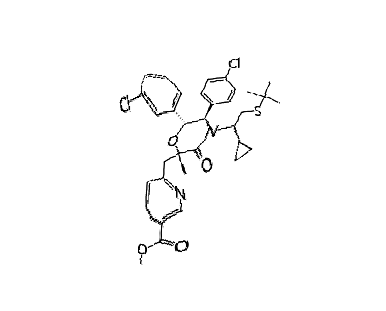 COC(=O)c1ccc(C[C@]2(C)O[C@H](c3cccc(Cl)c3)[C@@H](c3ccc(Cl)cc3)N(C(CSC(C)(C)C)C3CC3)C2=O)nc1